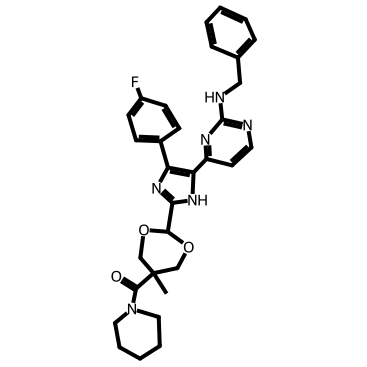 CC1(C(=O)N2CCCCC2)COC(c2nc(-c3ccc(F)cc3)c(-c3ccnc(NCc4ccccc4)n3)[nH]2)OC1